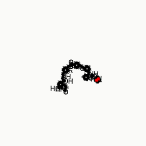 O=C(NC(c1ccccc1)c1cccc(OCc2ccc(C(=O)OCc3ccc(CNCC(O)c4ccc(O)c5[nH]c(=O)ccc45)cc3F)cc2)c1)O[C@H]1CN2CCC1CC2